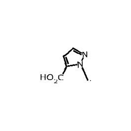 [CH2]n1nccc1C(=O)O